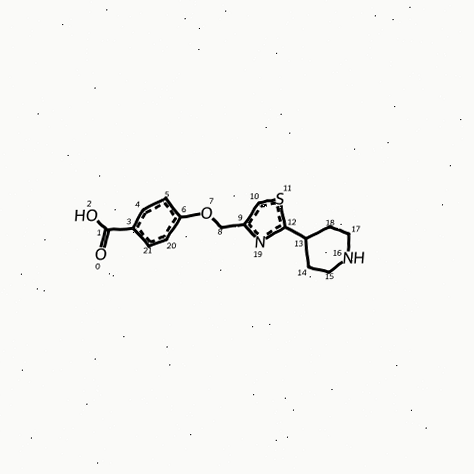 O=C(O)c1ccc(OCc2csc(C3CCNCC3)n2)cc1